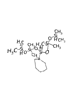 C[SiH](C)O[Si](C)(C)O[SiH](O[Si](C)(C)O[SiH](C)C)C1CCCCC1